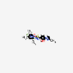 Cc1ccn(-c2ccc(-c3nnc(OC4CC5(C)NC(C)(CC5(C)F)C4F)s3)c(O)c2)n1